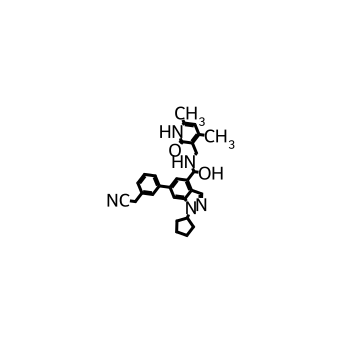 Cc1cc(C)c(CNC(O)c2cc(-c3cccc(CC#N)c3)cc3c2cnn3C2CCCC2)c(=O)[nH]1